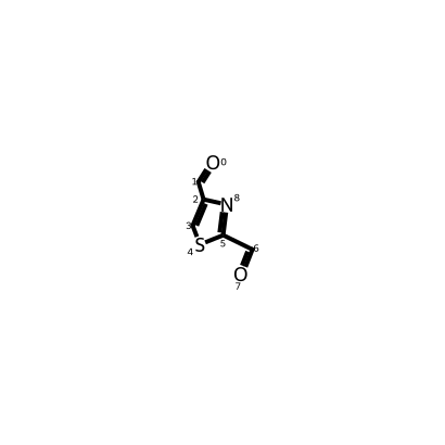 O=Cc1csc(C=O)n1